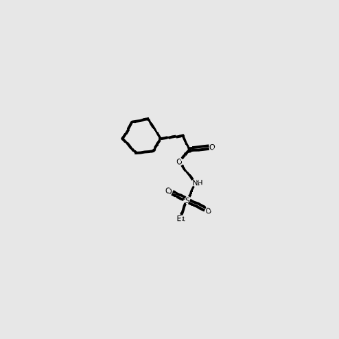 CCS(=O)(=O)NOC(=O)CC1CCCCC1